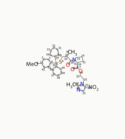 COc1ccc(C(SC[C@@H](C)C(=O)N2CCC[C@H]2C(=O)OCCn2c([N+](=O)[O-])cnc2C)(c2ccccc2)c2ccccc2)cc1